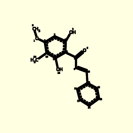 COc1cc(O)c(C(=O)/C=C/c2ccccc2)c(O)c1C